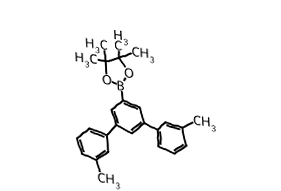 Cc1cccc(-c2cc(B3OC(C)(C)C(C)(C)O3)cc(-c3cccc(C)c3)c2)c1